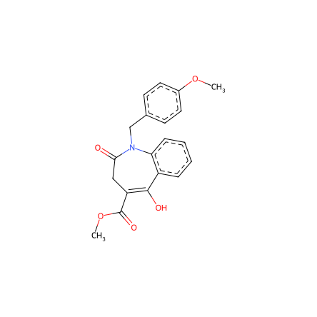 COC(=O)C1=C(O)c2ccccc2N(Cc2ccc(OC)cc2)C(=O)C1